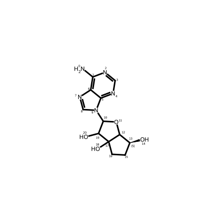 Nc1ncnc2c1ncn2C1OC2[C@@H](O)CCC2(O)C1O